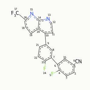 N#Cc1ccc(F)c(-c2cc(-c3ccnc4nc(C(F)(F)F)ccc34)ccc2F)c1